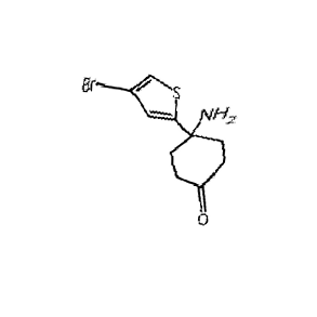 NC1(c2cc(Br)cs2)CCC(=O)CC1